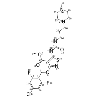 COC(=O)c1c(OCc2c(F)cc(Cl)cc2F)nsc1NC(=O)NCCCN1CCN(C)CC1